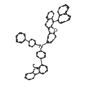 c1ccc(-c2ccc(N(c3ccc(-c4cccc5c4sc4ccccc45)cc3)c3ccc4oc5c(-c6cccc7ccccc67)c6ccccc6cc5c4c3)cc2)cc1